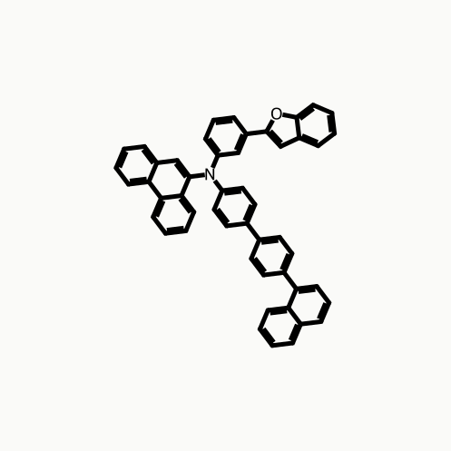 c1cc(-c2cc3ccccc3o2)cc(N(c2ccc(-c3ccc(-c4cccc5ccccc45)cc3)cc2)c2cc3ccccc3c3ccccc23)c1